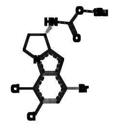 CC(C)(C)OC(=O)N[C@H]1CCn2c1cc1c(Br)cc(Cl)c(Cl)c12